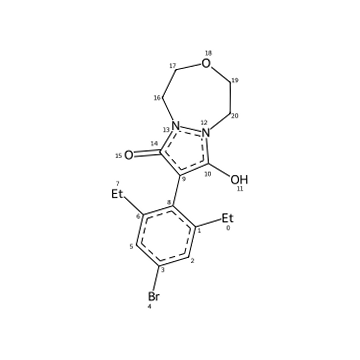 CCc1cc(Br)cc(CC)c1-c1c(O)n2n(c1=O)CCOCC2